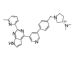 Cc1cccc(-c2nc(-c3cncc(-c4ccc(CN5CC[C@H](N(C)C)C5)cc4)c3)c3cc[nH]c3n2)n1